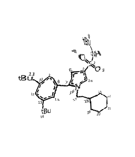 CC(C)(C)NS(=O)(=O)c1cc(-c2cc(C(C)(C)C)cc(C(C)(C)C)c2)n(CC2CCCCC2)c1